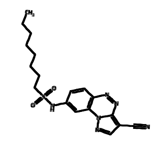 CCCCCCCCS(=O)(=O)Nc1ccc2nnc3c(C#N)cnn3c2c1